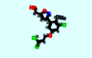 COc1c(Cl)cc(OCC=C(Cl)Cl)cc1-c1cc(CO)on1